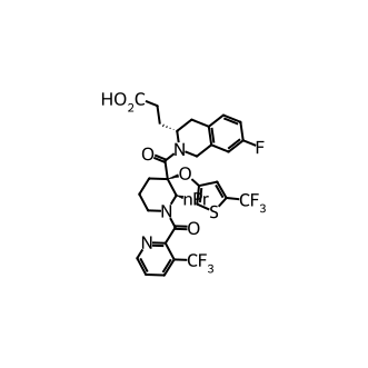 CCC[C@H]1N(C(=O)c2ncccc2C(F)(F)F)CCC[C@]1(Oc1csc(C(F)(F)F)c1)C(=O)N1Cc2cc(F)ccc2C[C@H]1CCC(=O)O